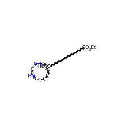 C1CCCCCCCCCCCNCCCCCCCCCCC1.CCOC(=O)CCCCCCCCCCCCCCCCCCCCCC(=O)O.N